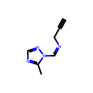 C#CC/N=C\n1ncnc1C